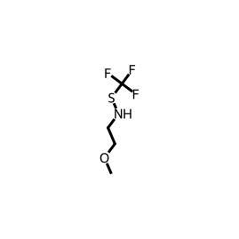 COCCNSC(F)(F)F